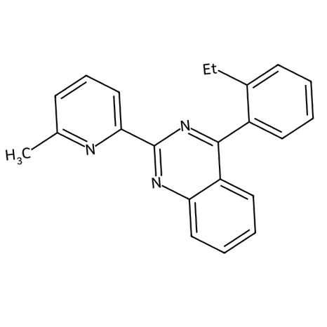 CCc1ccccc1-c1nc(-c2cccc(C)n2)nc2ccccc12